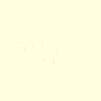 COc1cccc([C@@H](C)NC(C)c2cc(-c3cc(F)cc(OC(C)(C)C(=O)O)c3)c3ccccc3c2)c1.Cl